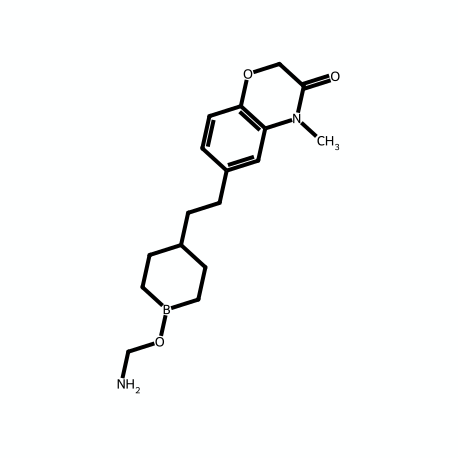 CN1C(=O)COc2ccc(CCC3CCB(OCN)CC3)cc21